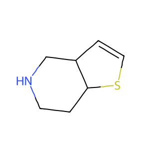 C1=CC2CNCCC2S1